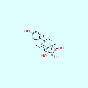 C[C@]12CC[C@@H]3c4ccc(O)cc4CC[C@H]3[C@@H]1[C@@H](O)[C@@H](O)[C@@H]2O